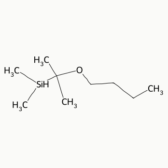 CCCCOC(C)(C)[SiH](C)C